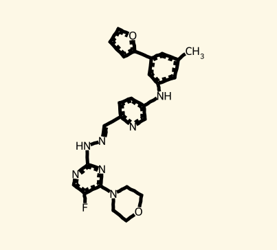 Cc1cc(Nc2ccc(/C=N/Nc3ncc(F)c(N4CCOCC4)n3)nc2)cc(-c2ccco2)c1